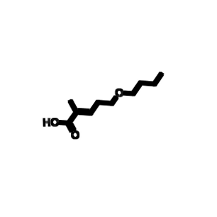 CCCCOCC/C=C(\C)C(=O)O